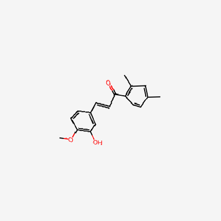 COc1ccc(/C=C/C(=O)c2ccc(C)cc2C)cc1O